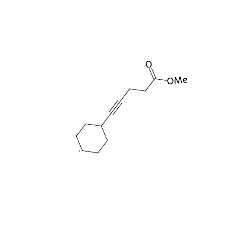 COC(=O)CCC#CC1CC[CH]CC1